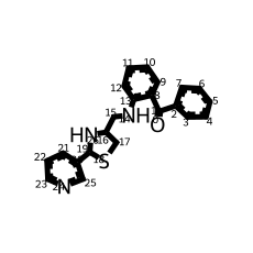 O=C(c1ccccc1)c1ccccc1NCC1CSC(c2cccnc2)N1